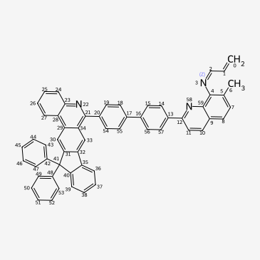 C=C/C=N\c1c(C)ccc2ccc(-c3ccc(-c4ccc(-c5nc6ccccc6c6cc7c(cc56)-c5ccccc5C7(c5ccccc5)c5ccccc5)cc4)cc3)nc12